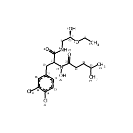 CCO[C@H](O)CNC(=O)C(Cc1ccc(Cl)c(Cl)c1)N(O)C(=O)CCC(C)C